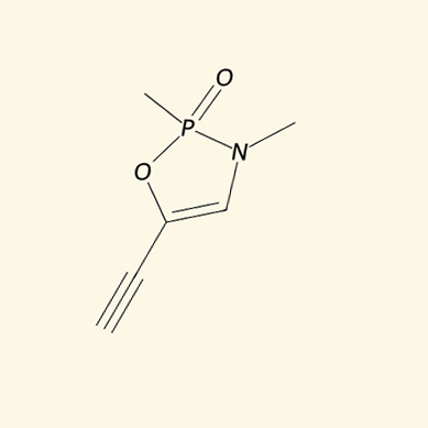 C#CC1=CN(C)P(C)(=O)O1